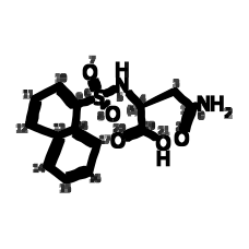 NC(=O)C[C@H](NS(=O)(=O)c1cccc2ccccc12)C(=O)O